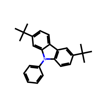 CC(C)(C)c1ccc2c(c1)c1ccc(C(C)(C)C)cc1n2-c1ccccc1